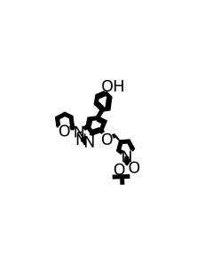 CC(C)(C)OC(=O)N1CC[C@H](COc2cc(-c3ccc(O)cc3)cc3c2nnn3C2CCCCO2)C1